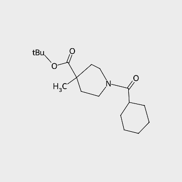 CC(C)(C)OC(=O)C1(C)CCN(C(=O)C2CCCCC2)CC1